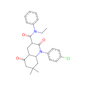 CCN(C(=O)C1CC2C(=O)CC(C)(C)CC2N(c2ccc(Cl)cc2)C1=O)c1ccccc1